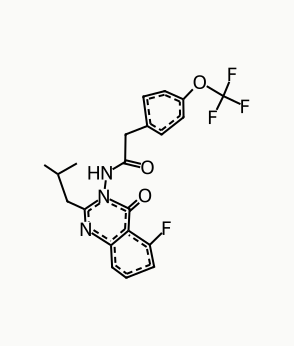 CC(C)Cc1nc2cccc(F)c2c(=O)n1NC(=O)Cc1ccc(OC(F)(F)F)cc1